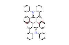 c1ccc2c(c1)B1c3c(cccc3-c3cccc4c3B3c5ccccc5-c5ccccc5N3c3ccccc3-4)-c3ccccc3N1c1ccccc1-2